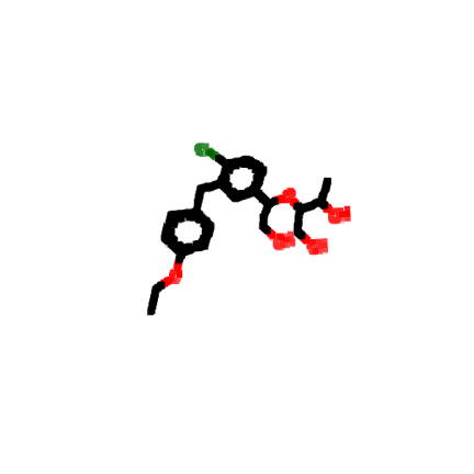 CCOc1ccc(Cc2cc(C(CO)OC(CO)C(C)O)ccc2Cl)cc1